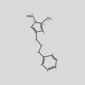 CCCCCCCCCn1cc(CCCc2ccccc2)nc1C